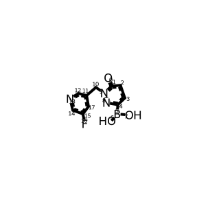 O=c1ccc(B(O)O)nn1Cc1cncc(F)c1